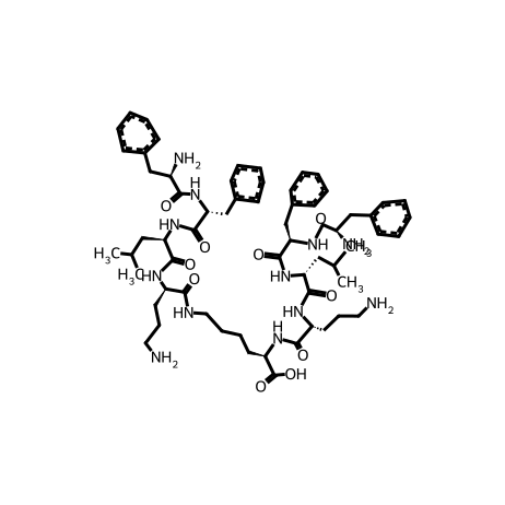 CC(C)C[C@@H](NC(=O)[C@@H](Cc1ccccc1)NC(=O)[C@H](N)Cc1ccccc1)C(=O)N[C@H](CCCN)C(=O)NCCCC[C@@H](NC(=O)[C@@H](CCCN)NC(=O)[C@@H](CC(C)C)NC(=O)[C@@H](Cc1ccccc1)NC(=O)[C@H](N)Cc1ccccc1)C(=O)O